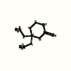 NCC1(CN)CCOC(=O)C1